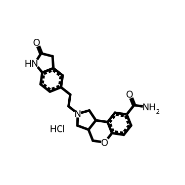 Cl.NC(=O)c1ccc2c(c1)C1CN(CCc3ccc4c(c3)CC(=O)N4)CC1CO2